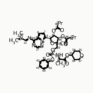 CC(C)C(=O)O[C@H]1[C@H](c2ccc3c(/N=C/N(C)C)ncnn23)O[C@](C#N)(CO[P@@](=O)(N[C@@H](C)C(=O)OC2CCOCC2)Oc2ccccc2)[C@H]1OC(=O)C(C)C